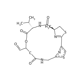 CC(C)[C@@H]1NC(=O)[C@]2(C)CSC(=N2)c2csc(n2)CNC(=O)CC(C=O)OC1=O